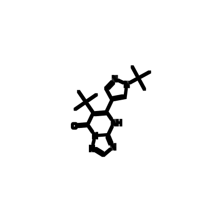 CC(C)(C)c1c(-c2cnn(C(C)(C)C)c2)[nH]c2ncnn2c1=O